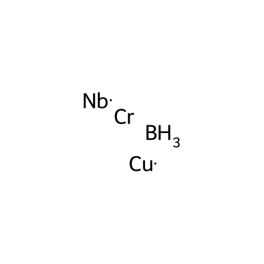 B.[Cr].[Cu].[Nb]